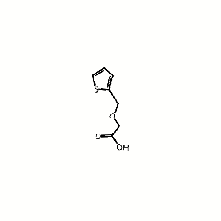 O=C(O)COCc1cccs1